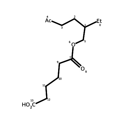 CCC(CCC(C)=O)COC(=O)CCCCC(=O)O